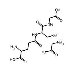 NC(CCC(=O)NC(CS)C(=O)NCC(=O)O)C(=O)O.NCC(=O)O